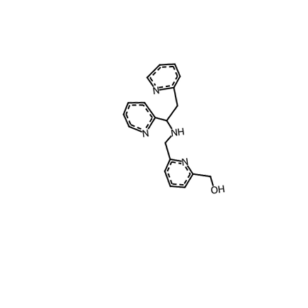 OCc1cccc(CNC(Cc2ccccn2)c2ccccn2)n1